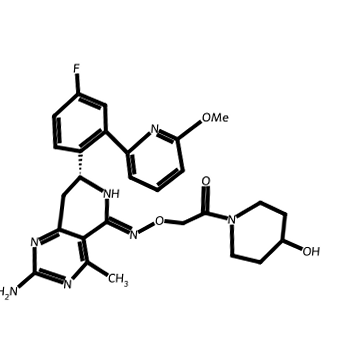 COc1cccc(-c2cc(F)ccc2[C@H]2Cc3nc(N)nc(C)c3/C(=N/OCC(=O)N3CCC(O)CC3)N2)n1